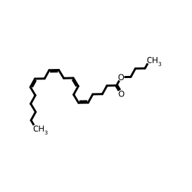 CCCCC/C=C\C/C=C\C/C=C\C/C=C\CCCC(=O)OCCCC